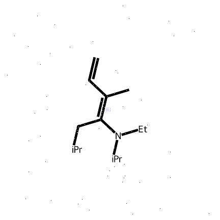 C=C/C(C)=C(\CC(C)C)N(CC)C(C)C